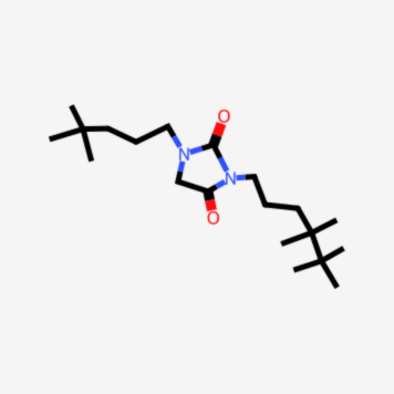 CC(C)(C)CCCN1CC(=O)N(CCCC(C)(C)C(C)(C)C)C1=O